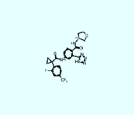 O=C(N[C@H]1CCOC1)c1ccc(NC(=O)C2(c3ccc(C(F)(F)F)cc3F)CC2)cc1-c1nnn[nH]1